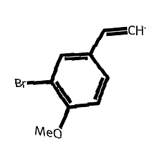 [CH]=Cc1ccc(OC)c(Br)c1